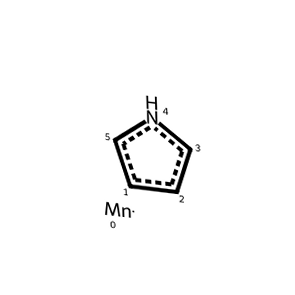 [Mn].c1cc[nH]c1